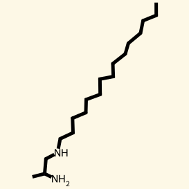 CCCCCCCCCCCCCCCNCC(C)N